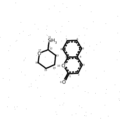 O=c1ccc2ccccc2o1.[SiH3]C1CCCCO1